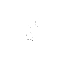 COC(=O)C(N)c1ccn(C)n1